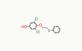 Oc1cc(Cl)c(OCCSc2ccccc2)c(Cl)c1